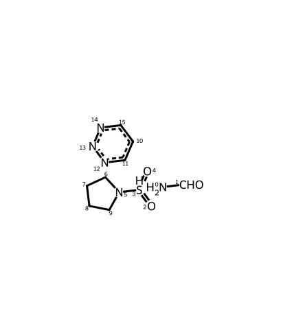 NC=O.O=[SH](=O)N1CCCC1.c1cnnnc1